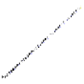 B=B\B=B/B=B\B=B/B=B\B=B/B=B\B=B/B=B\B=B/B=B\B=B/B=B\B=B/B=B\B=B/B=B\B=B/B=S